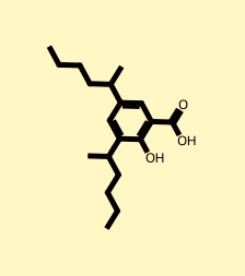 CCCCC(C)c1cc(C(=O)O)c(O)c(C(C)CCCC)c1